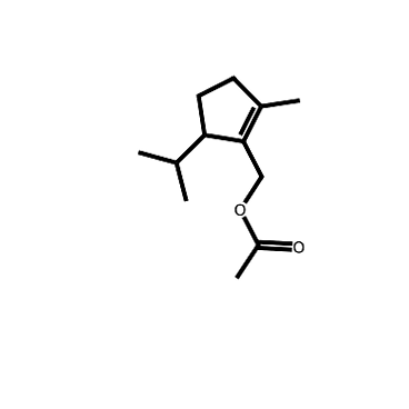 CC(=O)OCC1=C(C)CCC1C(C)C